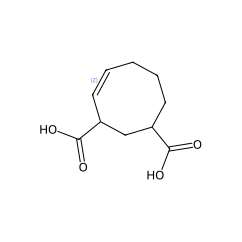 O=C(O)C1/C=C\CCCC(C(=O)O)C1